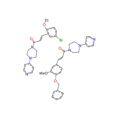 CCOc1ccc(Br)cc1C=CC(=O)N1CCN(c2ccncc2)CC1.COc1cc(C=CC(=O)N2CCN(c3ccncc3)CC2)ccc1OCc1ccccc1